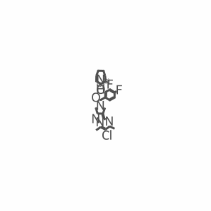 Cc1nc2c3c(nn2c(C)c1Cl)CN(C(=O)c1ccc(F)cc1O[C@H]1CC2CCC(N2)[C@@H]1F)C3